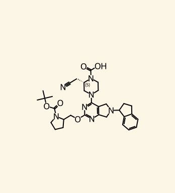 CC(C)(C)OC(=O)N1CCCC1COc1nc2c(c(N3CCN(C(=O)O)[C@@H](CC#N)C3)n1)CN(C1CCc3ccccc31)C2